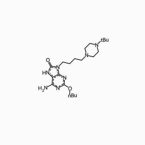 CCCCOc1nc(N)c2[nH]c(=O)n(CCCCN3CCN(C(C)(C)C)CC3)c2n1